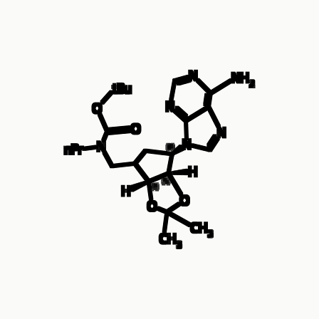 CCCN(CC1C[C@@H](n2cnc3c(N)ncnc32)[C@@H]2OC(C)(C)O[C@H]12)C(=O)OC(C)(C)C